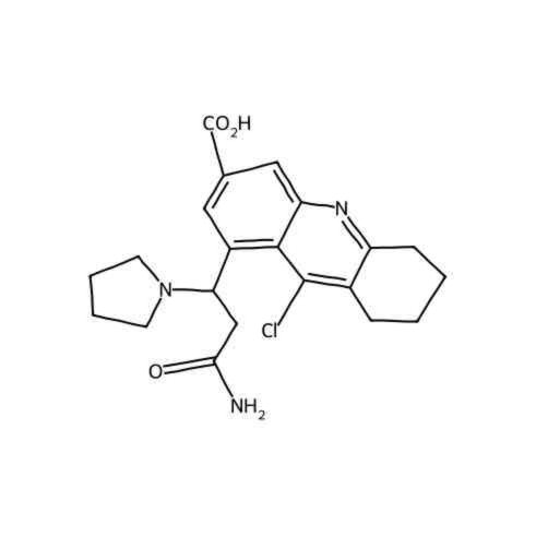 NC(=O)CC(c1cc(C(=O)O)cc2nc3c(c(Cl)c12)CCCC3)N1CCCC1